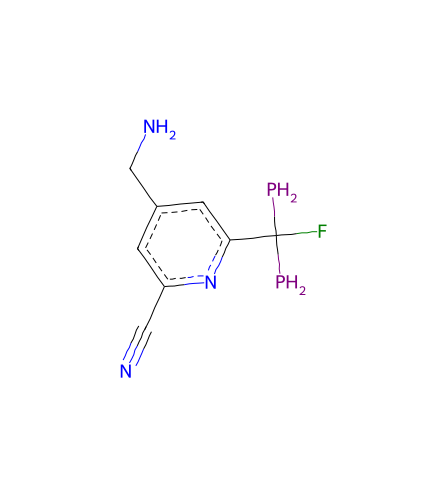 N#Cc1cc(CN)cc(C(F)(P)P)n1